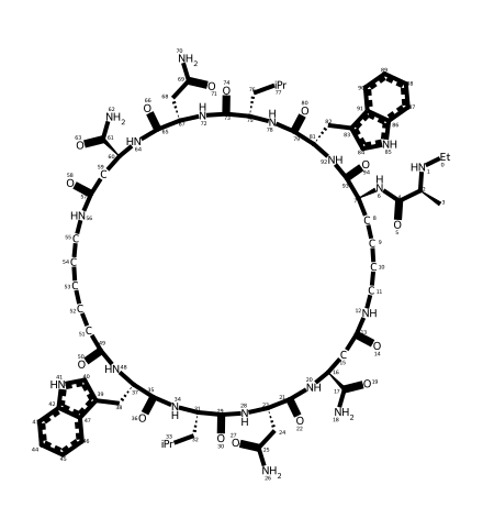 CCN[C@@H](C)C(=O)N[C@H]1CCCCNC(=O)C[C@@H](C(N)=O)NC(=O)[C@H](CC(N)=O)NC(=O)[C@H](CC(C)C)NC(=O)[C@H](Cc2c[nH]c3ccccc23)NC(=O)CCCCCNC(=O)C[C@@H](C(N)=O)NC(=O)[C@H](CC(N)=O)NC(=O)[C@H](CC(C)C)NC(=O)[C@H](Cc2c[nH]c3ccccc23)NC1=O